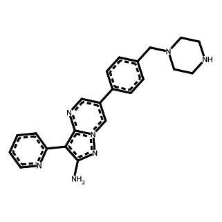 Nc1nn2cc(-c3ccc(CN4CCNCC4)cc3)cnc2c1-c1ccccn1